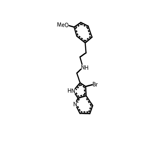 COc1cccc(CCNCc2[nH]c3ncccc3c2Br)c1